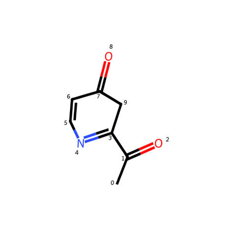 CC(=O)C1=NC=CC(=O)C1